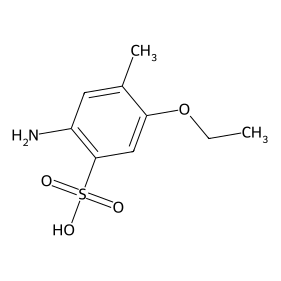 CCOc1cc(S(=O)(=O)O)c(N)cc1C